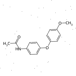 COc1ccc(Oc2ccc(NC(C)=O)cc2)cc1